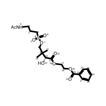 CC(=O)NCCCS(=O)(=O)OCC(C)(C)[C@@H](O)C(=O)OCCOC(=O)c1ccccc1